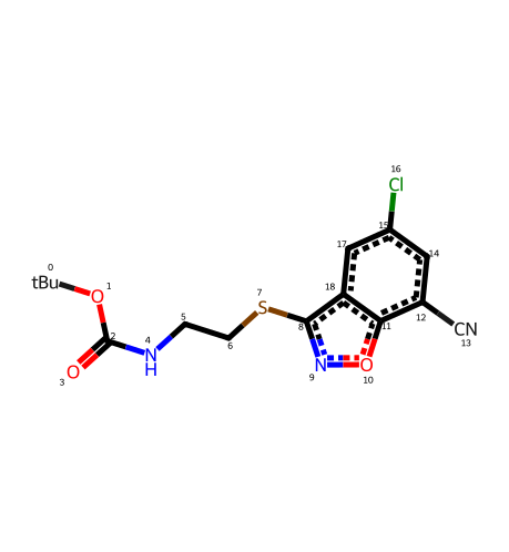 CC(C)(C)OC(=O)NCCSc1noc2c(C#N)cc(Cl)cc12